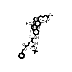 COC(=O)CC[C@@H](C)[C@H]1CC[C@H]2[C@@H]3[C@H](O)C[C@@H]4C[C@@H](NC(=O)[C@H](CCC(=O)OCc5ccccc5)NC(=O)OC(C)(C)C)CC[C@]4(C)[C@H]3C[C@H](O)[C@]12C